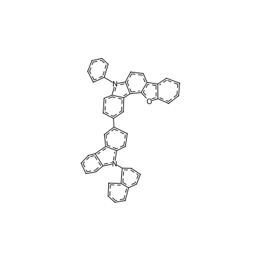 c1ccc(-n2c3ccc(-c4ccc5c(c4)c4ccccc4n5-c4cccc5ccccc45)cc3c3c4oc5ccccc5c4ccc32)cc1